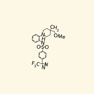 COCC1(C)CCN(c2ccccc2NS(=O)(=O)c2ccc(C3(C(F)(F)F)N=N3)cc2)CC1